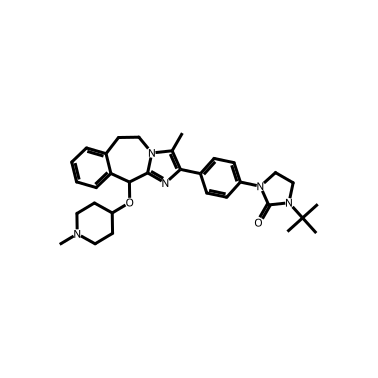 Cc1c(-c2ccc(N3CCN(C(C)(C)C)C3=O)cc2)nc2n1CCc1ccccc1C2OC1CCN(C)CC1